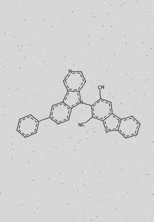 N#Cc1cc2c(sc3ccccc32)c(C#N)c1-n1c2ccncc2c2cc(-c3ccccc3)ccc21